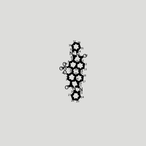 O=c1c2cc3c4c5c(cc6c7c(ccc(c8ccc(c2c84)c2nc4ccccc4n12)c57)c(=O)n1c2ccccc2nc61)S(=O)(=O)O3